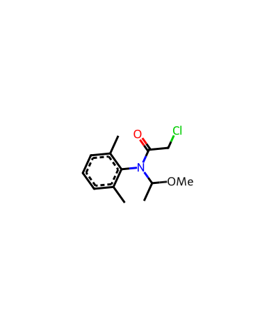 COC(C)N(C(=O)CCl)c1c(C)cccc1C